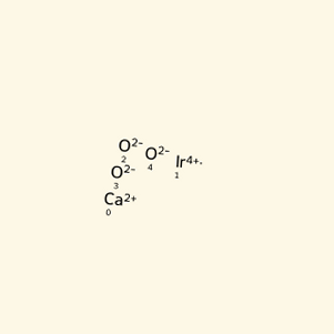 [Ca+2].[Ir+4].[O-2].[O-2].[O-2]